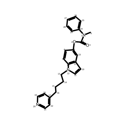 CN(C(=O)Oc1ccc2c(ccn2CCCCc2ccncc2)c1)c1ccccc1